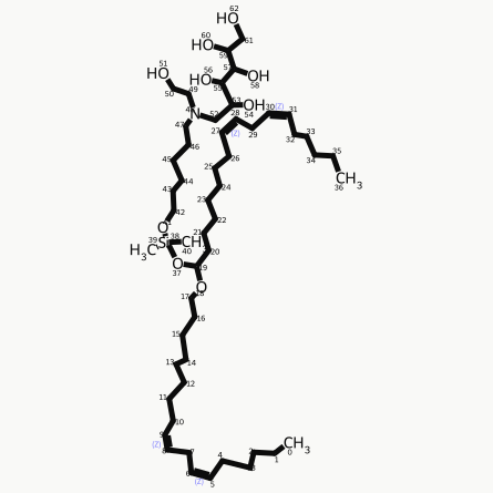 CCCCC/C=C\C/C=C\CCCCCCCCOC(CCCCCCC/C=C\C/C=C\CCCCC)O[Si](C)(C)OCCCCCCN(CCO)CC(O)C(O)C(O)C(O)CO